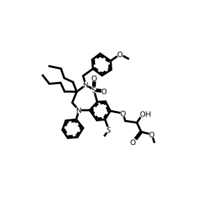 CCCCC1(CCCC)CN(c2ccccc2)c2cc(SC)c(OCC(O)C(=O)OC)cc2S(=O)(=O)N1Cc1ccc(OC)cc1